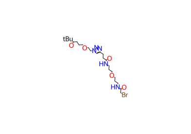 CC(C)(C)C(=O)CCCOCCn1cc(CCC(=O)NCCCOCCCNC(=O)CBr)nn1